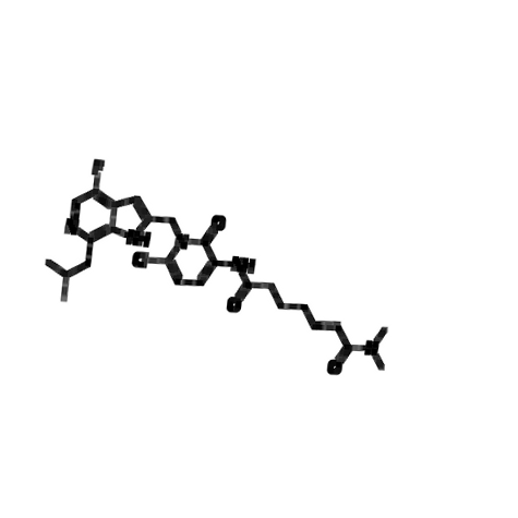 CC(C)Cc1ncc(F)c2cc(Cn3c(Cl)ccc(NC(=O)CCC/C=C/C(=O)N(C)C)c3=O)[nH]c12